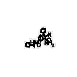 N#Cc1c(C(N)=O)c2n(c1-c1ccccc1)CCN(C(=O)NC1CC1c1ccccc1)C2